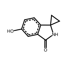 O=C1NC2(CC2)c2ccc(O)cc21